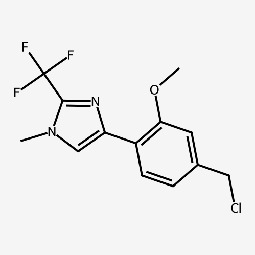 COc1cc(CCl)ccc1-c1cn(C)c(C(F)(F)F)n1